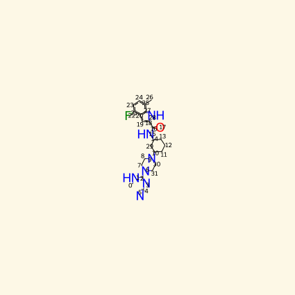 CN/C(=N\C#N)N1CCN([C@@H]2CCC[C@@H](NC(=O)c3cc4c(F)ccc(C)c4[nH]3)C2)CC1